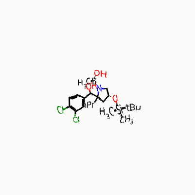 CCCC1(C(O)c2ccc(Cl)c(Cl)c2)C[C@@H](O[Si](C)(C)C(C)(C)C)CN1B(C)O